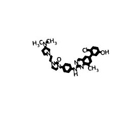 Cc1cc(-c2cc(O)ccc2Cl)cc2cnc(Nc3ccc(N4CCN(CCN5CCC(N(C)C)C5)C4=O)cc3)nc12